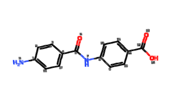 Nc1ccc(C(=O)Nc2ccc(C(=O)O)cc2)cc1